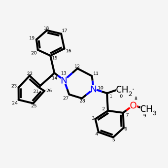 [CH2]C(c1ccccc1OC)N1CCN(C(c2ccccc2)c2ccccc2)CC1